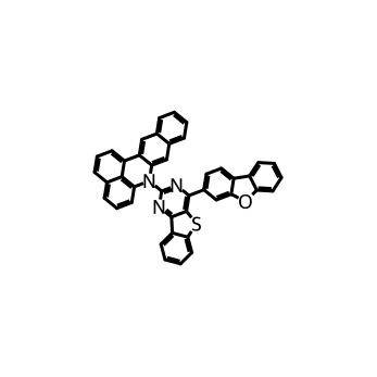 c1ccc2cc3c(cc2c1)-c1cccc2cccc(c12)N3c1nc(-c2ccc3c(c2)oc2ccccc23)c2sc3ccccc3c2n1